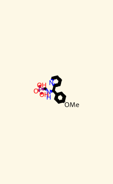 COc1ccc(C(NCP(=O)(O)O)c2ccccn2)cc1